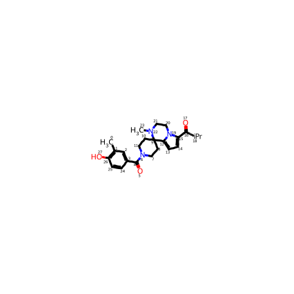 Cc1cc(C(=O)N2CCC3(CC2)c2ccc(C(=O)C(C)C)n2CCN3C)ccc1O